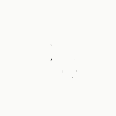 O=C1C(c2nnn[nH]2)[C@@H]2SCCN12